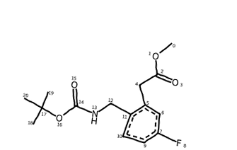 COC(=O)Cc1cc(F)ccc1CNC(=O)OC(C)(C)C